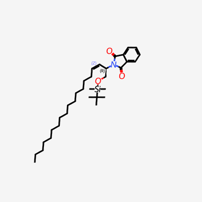 CCCCCCCCCCCCCCC/C=C\[C@H](CO[Si](C)(C)C(C)(C)C)N1C(=O)c2ccccc2C1=O